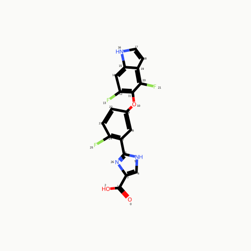 O=C(O)c1c[nH]c(-c2cc(Oc3c(F)cc4[nH]ccc4c3F)ccc2F)n1